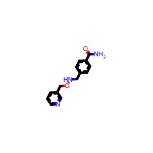 NC(=O)c1ccc(CNOCc2cccnc2)cc1